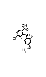 COc1ccc(Nc2c(C(=O)O)cnc(Cl)c2Cl)c(F)c1